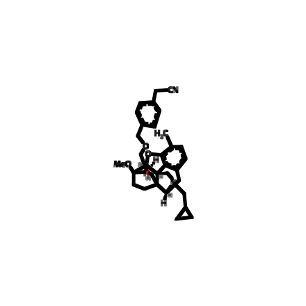 COC12CCC3(C[C@@H]1COCc1ccc(CC#N)cc1)[C@H]1Cc4ccc(C)c5c4[C@@]3(CCN1CC1CC1)[C@H]2O5